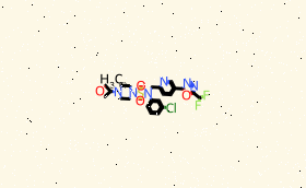 C[C@H]1CN(S(=O)(=O)N(Cc2ccc(-c3nnc(C(F)F)o3)cn2)c2cccc(Cl)c2)CCN1C1COC1